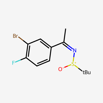 C/C(=N/[S+]([O-])C(C)(C)C)c1ccc(F)c(Br)c1